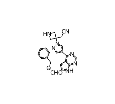 N#CCC1(n2cc(-c3ncnc4[nH]ccc34)cn2)CNC1.O=COCc1ccccc1